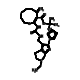 C=C1CCCCCS/C(NC(=O)NCc2c(-n3cccc3)sc3c2CCN(CC)C3)=C\1C(=O)OC(C)(C)C